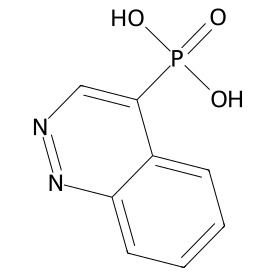 O=P(O)(O)c1cnnc2ccccc12